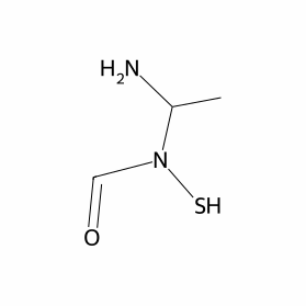 CC(N)N(S)C=O